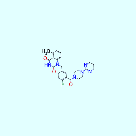 Bc1cccc2c1c(=O)[nH]c(=O)n2Cc1ccc(F)c(C(=O)N2CCN(c3ncccn3)CC2)c1